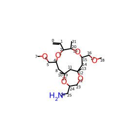 C=CC1OC(COC)CC2(C)CC(C)(CC(COC)OC1C)OCC(CN)O2